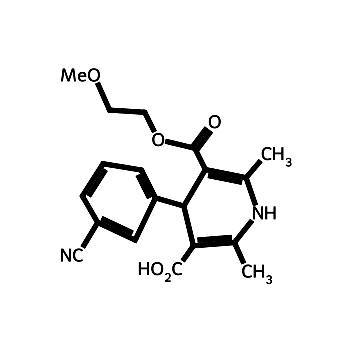 COCCOC(=O)C1=C(C)NC(C)=C(C(=O)O)C1c1cccc(C#N)c1